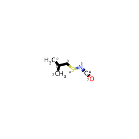 CC(C)CSN=C=O